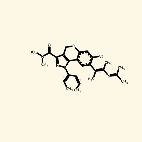 C/C=C\C(=C/C)B1N=C(C(=O)N(C)C(C)(C)C)C2=C1c1cc(/C(C)=C(\C)N=C(C)C)c(CC)cc1OC2